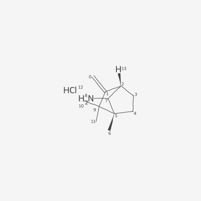 C=C1[C@@H]2CC[C@@](C)(C2N)C1(C)C.Cl